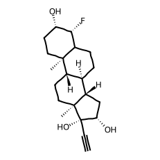 C#C[C@]1(O)[C@@H](O)C[C@H]2[C@@H]3CCC4[C@@H](F)[C@@H](O)CC[C@]4(C)[C@H]3CC[C@@]21C